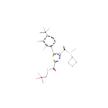 CN(C(=O)c1nc(C(=O)NCC(C)(C)O)sc1-c1ccc(C(C)(C)O)c(Cl)c1Cl)C1CCC1